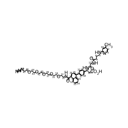 Cc1ccnc(NCCCC(=O)NCC(=O)N[C@@H](CC(=O)O)c2ccc(-c3ccc(C(=O)NCCOCCOCCOCCOCCOCCN=[N+]=[N-])c4ccccc34)cc2)c1